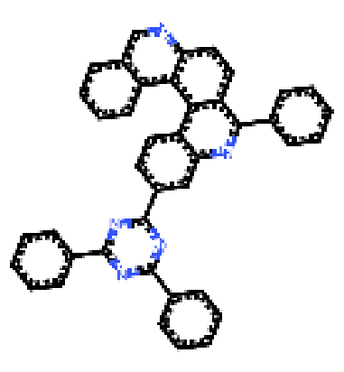 c1ccc(-c2nc(-c3ccccc3)nc(-c3ccc4c(c3)nc(-c3ccccc3)c3ccc5ncc6ccccc6c5c34)n2)cc1